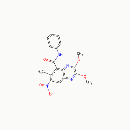 COc1nc2cc([N+](=O)[O-])c(C)c(C(=O)Nc3ccccc3)c2nc1OC